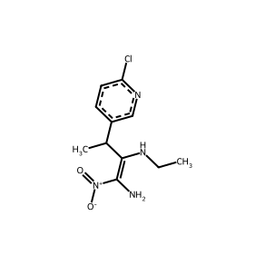 CCNC(=C(N)[N+](=O)[O-])C(C)c1ccc(Cl)nc1